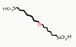 O=S(=O)(O)CCCCCCCOCCCCCCCS(=O)(=O)O